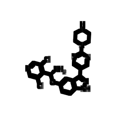 N[C@@H](Oc1ccc2[nH]nc(-c3cnc(N4CCNCC4)nc3)c2c1)c1c(Cl)cncc1Cl